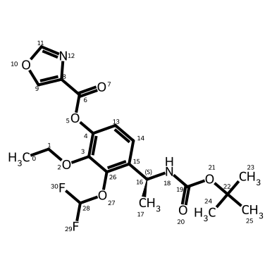 CCOc1c(OC(=O)c2cocn2)ccc([C@H](C)NC(=O)OC(C)(C)C)c1OC(F)F